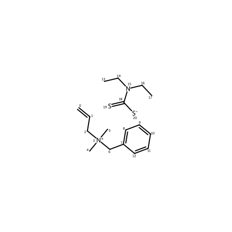 C=CC[N+](C)(C)Cc1ccccc1.CCN(CC)C(=S)[S-]